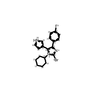 Fc1ccc(-c2nc(Br)n(C3CCCCC3)c2-c2cc[nH]c2)cc1